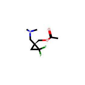 CC(=O)OC[C@]1(CN(C)C)CC1(F)F